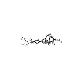 Nc1nc2c(c(=O)[nH]1)N(C=O)C(CN(C=O)c1ccc(C(=O)NC(CCC(=O)O)C(=O)O)cc1)CN2